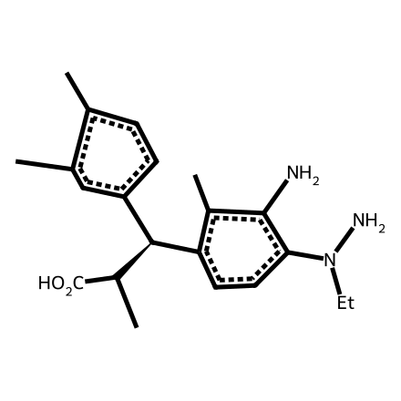 CCN(N)c1ccc([C@H](c2ccc(C)c(C)c2)C(C)C(=O)O)c(C)c1N